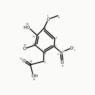 COc1cc([N+](=O)[O-])c(CC(=O)O)c(Cl)c1O